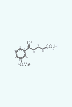 COc1cccc(C(=O)CCCC(=O)O)c1